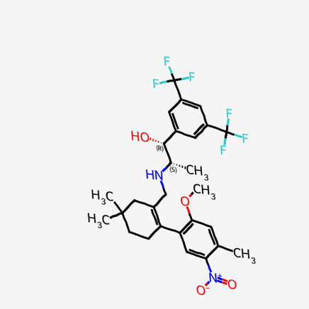 COc1cc(C)c([N+](=O)[O-])cc1C1=C(CN[C@@H](C)[C@H](O)c2cc(C(F)(F)F)cc(C(F)(F)F)c2)CC(C)(C)CC1